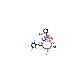 C[C@H]1OC(=O)C(C2CC2)OC(=O)[C@H](C)[C@H](O)C(CCc2c(F)nc(F)c(F)c2F)NC(=O)[C@H]1NC(=O)c1ccccc1O